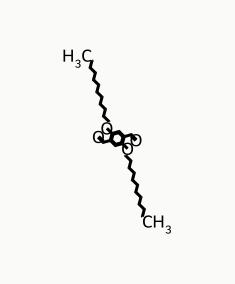 CCCCCCCCCCCCOc1cc(C=O)c(OCCCCCCCCCCCC)cc1C=O